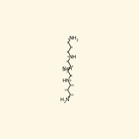 NCCCNCCCCNCCCN.[NaH]